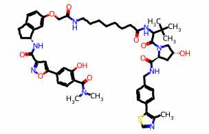 Cc1ncsc1-c1ccc(CNC(=O)[C@@H]2C[C@@H](O)CN2C(=O)C(NC(=O)CCCCCCCNC(=O)COc2ccc3c(c2)[C@H](NC(=O)c2cc(-c4ccc(C(=O)N(C)C)c(O)c4)on2)CC3)C(C)(C)C)cc1